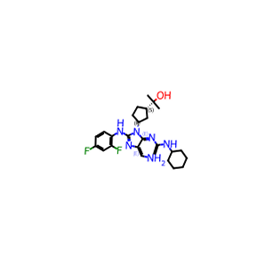 C=C(/N=C1\C(=C/N)N=C(Nc2ccc(F)cc2F)N1[C@@H]1CC[C@H](C(C)(C)O)C1)NC1CCCCC1